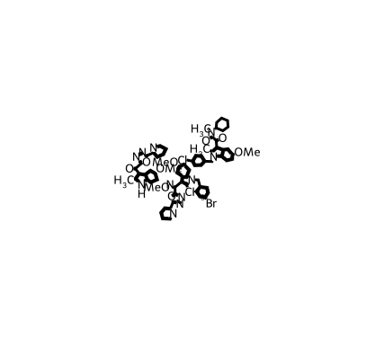 CON=C(c1nnc(-c2ccccn2)o1)c1c(C)n(Cc2ccc(Br)cc2)c2ccc(OC)cc12.COc1ccc2[nH]c(C)c(C(=O)c3nnc(-c4ccccn4)o3)c2c1.COc1ccc2c(c1)c(C(=O)C(=O)N(C)C1CCCCC1)c(C)n2Cc1ccc(Cl)cc1